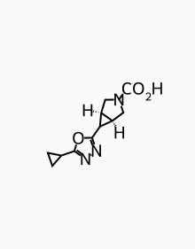 O=C(O)N1C[C@@H]2C(c3nnc(C4CC4)o3)[C@@H]2C1